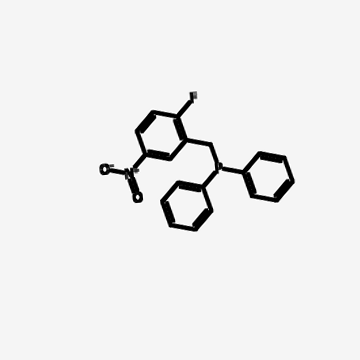 O=[N+]([O-])c1ccc(F)c(CP(c2ccccc2)c2ccccc2)c1